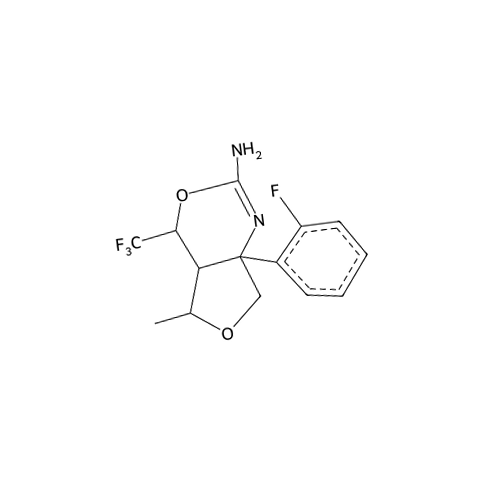 CC1OCC2(c3ccccc3F)N=C(N)OC(C(F)(F)F)C12